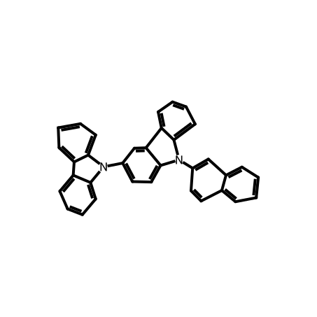 c1ccc2cc(-n3c4ccccc4c4cc(-n5c6ccccc6c6ccccc65)ccc43)ccc2c1